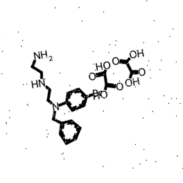 NCCNCCN(Cc1ccccc1)c1ccc(Br)cc1.O=C(O)C(=O)O.O=C(O)C(=O)O